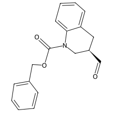 O=C[C@@H]1Cc2ccccc2N(C(=O)OCc2ccccc2)C1